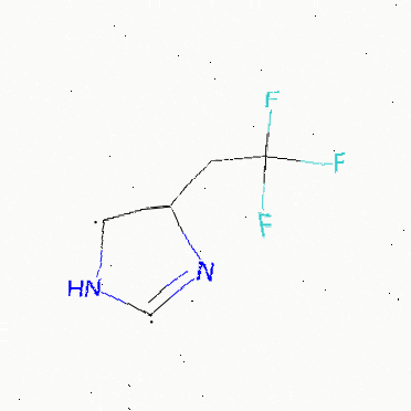 FC(F)(F)CC1[CH]N[C]=N1